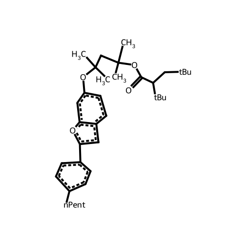 CCCCCc1ccc(-c2cc3ccc(OC(C)(C)CC(C)(C)OC(=O)C(CC(C)(C)C)C(C)(C)C)cc3o2)cc1